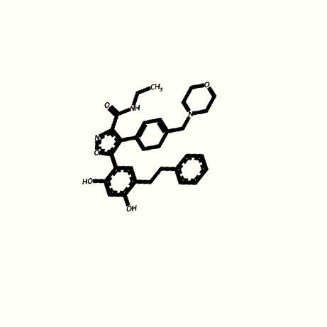 CCNC(=O)c1noc(-c2cc(CCc3ccccc3)c(O)cc2O)c1C1=CC=C(CN2CCOCC2)CC1